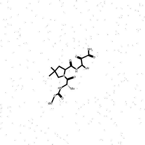 CCCC(NC(=O)C1CC(C)(C)CN1C(=O)[C@@H](NC(=O)OC(C)(C)C)C(C)(C)C)C(=O)C(N)=O